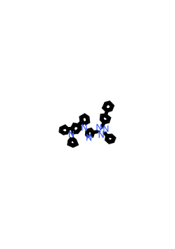 C1=CC2c3cc4c5ccccc5n(-c5cncc(-c6nc(-c7ccccc7)nc(-c7ccc(-c8ccccc8)cc7)n6)c5)c4cc3N(c3ccccc3)C2C=C1